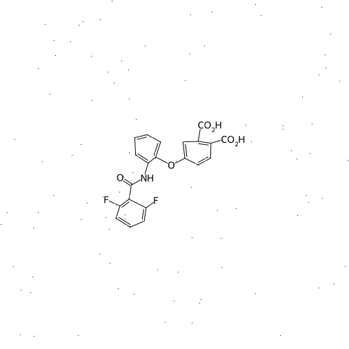 O=C(O)c1ccc(Oc2ccccc2NC(=O)c2c(F)cccc2F)cc1C(=O)O